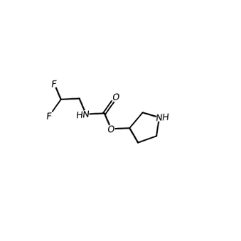 O=C(NCC(F)F)OC1CCNC1